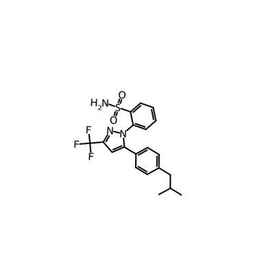 CC(C)Cc1ccc(-c2cc(C(F)(F)F)nn2-c2ccccc2S(N)(=O)=O)cc1